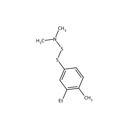 CCc1cc(SSN(C)C)ccc1C